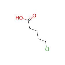 O=C(O)C[CH]CCCl